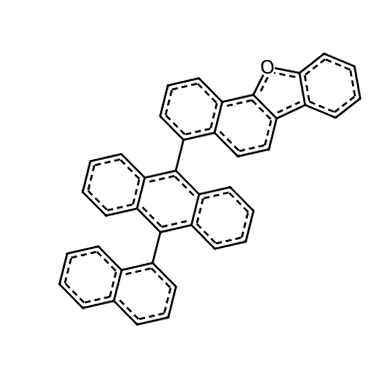 c1ccc2c(-c3c4ccccc4c(-c4cccc5c4ccc4c6ccccc6oc54)c4ccccc34)cccc2c1